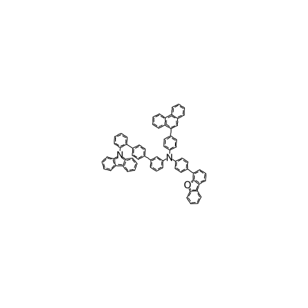 c1cc(-c2ccc(-c3ccccc3-n3c4ccccc4c4ccccc43)cc2)cc(N(c2ccc(-c3cc4ccccc4c4ccccc34)cc2)c2ccc(-c3cccc4c3oc3ccccc34)cc2)c1